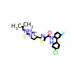 C=C(C)CNC(=S)N1CCC(c2nc(C(=O)Nc3ccc(F)cc3-c3ccc(Cl)cc3)cs2)CC1